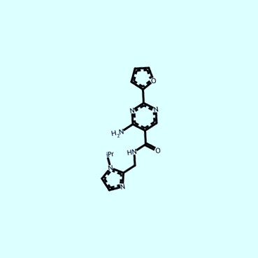 CC(C)n1ccnc1CNC(=O)c1cnc(-c2ccco2)nc1N